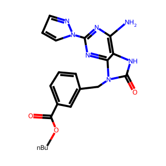 CCCCOC(=O)c1cccc(Cn2c(=O)[nH]c3c(N)nc(-n4cccn4)nc32)c1